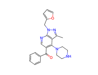 Cc1nn(Cc2ccco2)c2ncc(C(=O)c3ccccc3)c(N3CCNCC3)c12